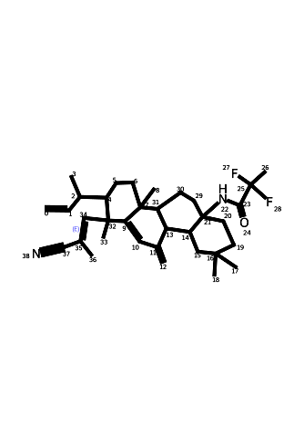 C=CC(C)C1CCC2(C)C(=CC(=C)C3C4CC(C)(C)CCC4(NC(=O)C(C)(F)F)CCC32)C1(C)/C=C(\C)C#N